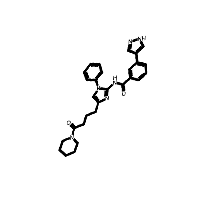 O=C(Nc1nc(CCCC(=O)N2CCCCC2)cn1-c1ccccc1)c1cccc(-c2cn[nH]c2)c1